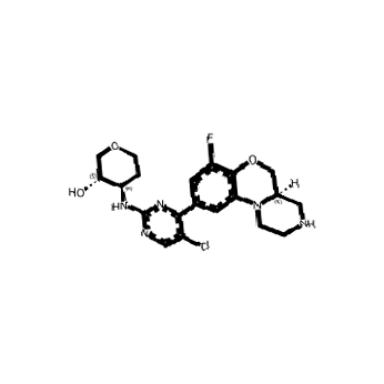 O[C@@H]1COCC[C@H]1Nc1ncc(Cl)c(-c2cc(F)c3c(c2)N2CCNC[C@@H]2CO3)n1